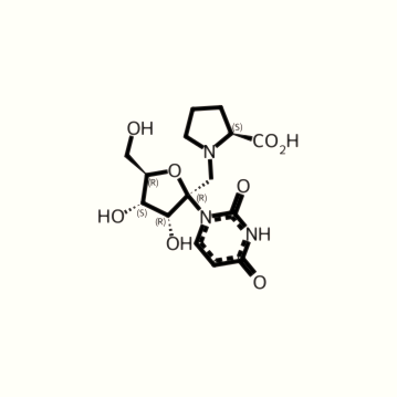 O=C(O)[C@@H]1CCCN1C[C@@]1(n2ccc(=O)[nH]c2=O)O[C@H](CO)[C@@H](O)[C@H]1O